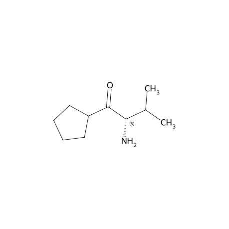 CC(C)[C@H](N)C(=O)[C]1CCCC1